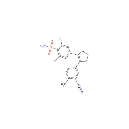 Cc1ccc(C2=C(c3cc(F)c(S(N)(=O)=O)c(F)c3)CCC2)cc1C#N